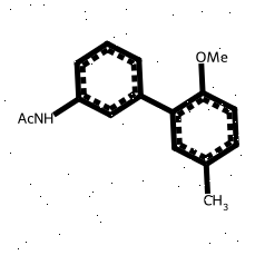 COc1ccc(C)cc1-c1cccc(NC(C)=O)c1